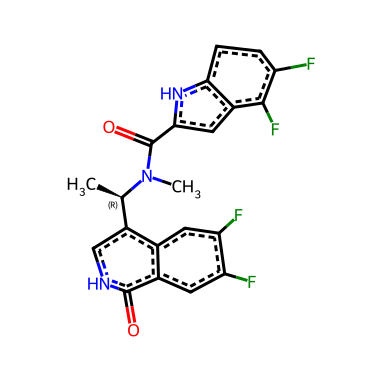 C[C@H](c1c[nH]c(=O)c2cc(F)c(F)cc12)N(C)C(=O)c1cc2c(F)c(F)ccc2[nH]1